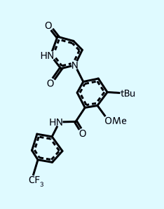 COc1c(C(=O)Nc2ccc(C(F)(F)F)cc2)cc(-n2ccc(=O)[nH]c2=O)cc1C(C)(C)C